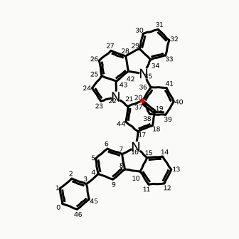 c1ccc(-c2ccc3c(c2)c2ccccc2n3-c2cccc(-n3ccc4ccc5c6ccccc6n(-c6ccccc6)c5c43)c2)cc1